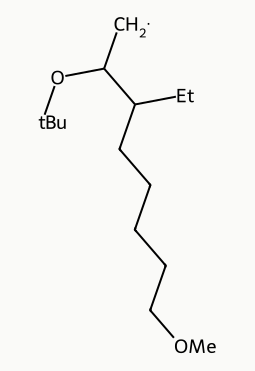 [CH2]C(OC(C)(C)C)C(CC)CCCCCOC